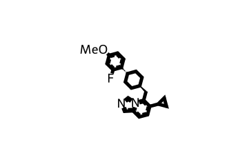 COc1ccc([C@H]2CC[C@H](Cc3c(C4CC4)ccc4cncn34)CC2)c(F)c1